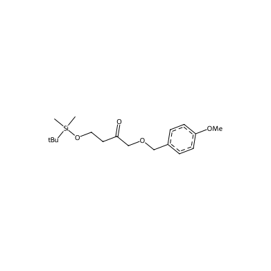 COc1ccc(COCC(=O)CCO[Si](C)(C)C(C)(C)C)cc1